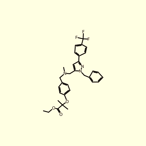 CCOC(=O)C(C)(C)Oc1ccc(CN(C)Cc2cc(-c3ccc(C(F)(F)F)cc3)nn2Cc2ccccc2)cc1